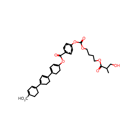 CC(CO)C(=O)OCCCCOC(=O)Oc1ccc(C(=O)OC2=CC=C(C3=CC=C(C4=CC=C(C(=O)O)CC4)CC3)CC2)cc1